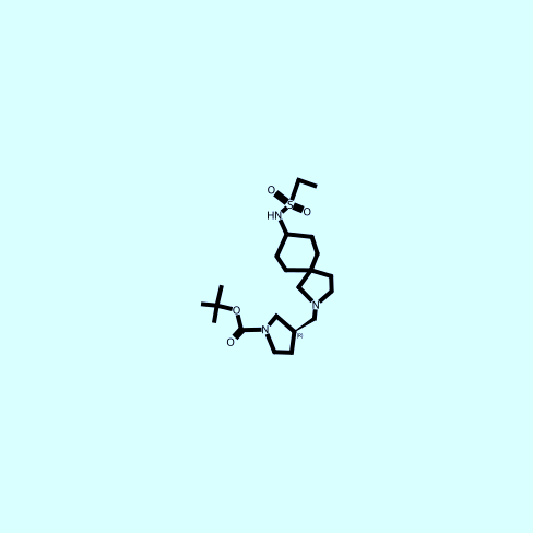 CCS(=O)(=O)NC1CCC2(CC1)CCN(C[C@H]1CCN(C(=O)OC(C)(C)C)C1)C2